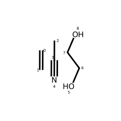 C=C.CC#N.OCCO